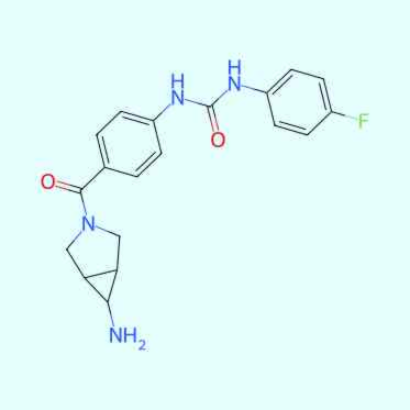 NC1C2CN(C(=O)c3ccc(NC(=O)Nc4ccc(F)cc4)cc3)CC12